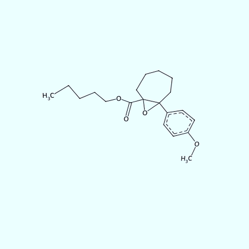 CCCCCOC(=O)C12CCCCCC1(c1ccc(OC)cc1)O2